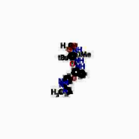 COc1c(NC(=O)N[C@H]2CC[C@@H](Oc3ccc4nnc(C5CCCN5C)n4c3)c3ccccc32)cc(C(C)(C)C)cc1NS(C)(=O)=O